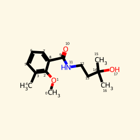 COc1c(C)cccc1C(=O)NCCC(C)(C)O